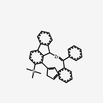 C[Si](C)(C)c1ccc2c(c1C1=CC=CC1)[CH]([Zr]=[C](c1ccccc1)c1ccccc1)c1ccccc1-2